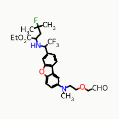 CCOC(=O)C(CC(C)(C)F)NC(c1ccc2c(c1)oc1ccc(N(C)CCOCC=O)cc12)C(F)(F)F